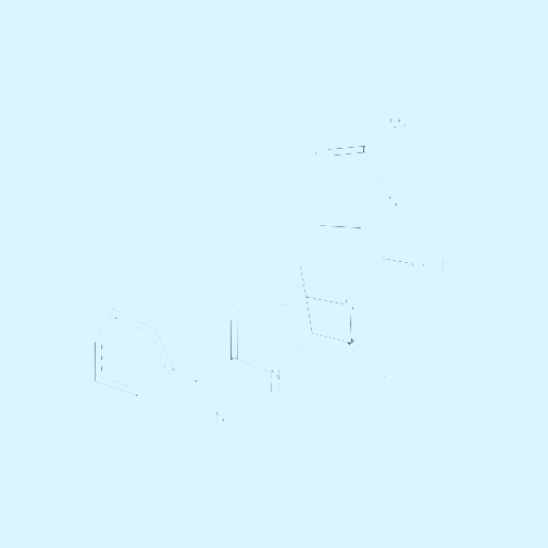 COC(=O)NC1=C(C(=O)O)N2C(=O)C(NC(=O)C(N)c3ccccc3)[C@H]2SC1